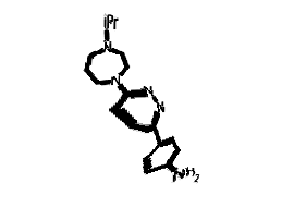 CC(C)N1CCCN(c2ccc(-c3ccc(N)cc3)nn2)CC1